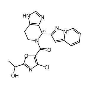 CC(O)c1nc(Cl)c(C(=O)N2CCc3[nH]cnc3[C@@H]2c2cc3ccccn3n2)o1